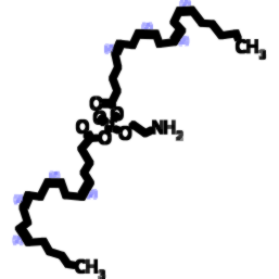 CCCCC/C=C\C/C=C\C/C=C\C/C=C\CCCC(=O)OP(=O)(OCCN)OC(=O)CCC/C=C\C/C=C\C/C=C\C/C=C\CCCCC